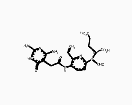 C=Cc1nc(N(C=O)[C@@H](CCC(=O)O)C(=O)O)ccc1NC(=O)Cc1c(N)nc(N)[nH]c1=O